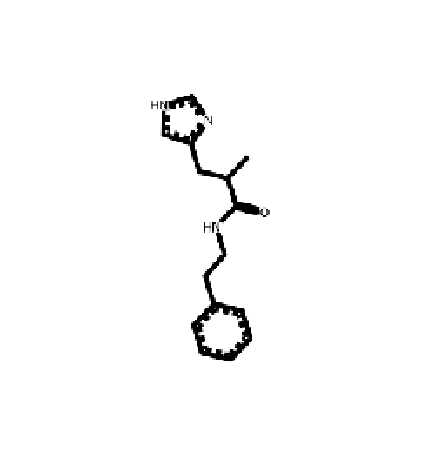 C[C](Cc1c[nH]cn1)C(=O)NCCc1ccccc1